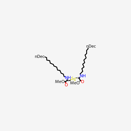 CCCCCCCCCCCCCCCCCCCCCCN[C@@H](CSSC[C@H](NCCCCCCCCCCCCCCCCCCCCCC)C(=O)OC)C(=O)OC